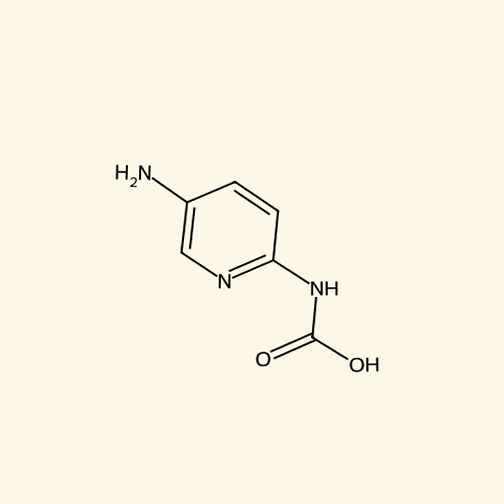 Nc1ccc(NC(=O)O)nc1